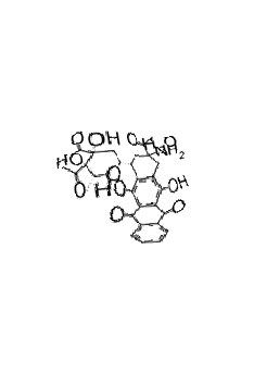 CC(=O)C1(N)Cc2c(O)c3c(c(O)c2C([C@H]2C[C@](O)(C(C)=O)[C@](O)(C(C)=O)[C@@H](C)O2)C1)C(=O)c1ccccc1C3=O.O